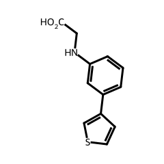 O=C(O)CNc1cccc(-c2ccsc2)c1